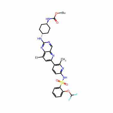 CCc1cc(-c2ccc(NS(=O)(=O)c3ccccc3OC(F)F)nc2C)nc2cnc(N[C@H]3CC[C@H](NC(=O)OC(C)(C)C)CC3)nc12